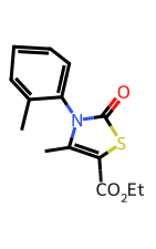 CCOC(=O)c1sc(=O)n(-c2ccccc2C)c1C